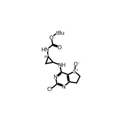 CC(C)(C)OC(=O)N[C@@H]1CC1Nc1nc(Cl)nc2c1[S+]([O-])CC2